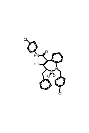 O=C(Nc1ccc(Cl)cc1)C1=C(O)C(Cc2ccccc2)S(=O)(=O)N(Cc2ccc(Cl)cc2)c2ccccc21